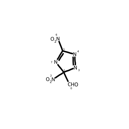 O=CC1([N+](=O)[O-])N=NC([N+](=O)[O-])=N1